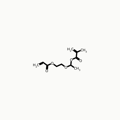 C=CC(=O)OCCOC(C)OC(=O)C(=C)C